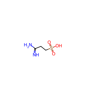 N=C(N)CCS(=O)(=O)O